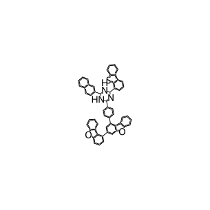 c1ccc2cc(C3NC(c4ccc(-c5cc(-c6cccc7oc8ccccc8c67)cc6oc7ccccc7c56)cc4)=NC(c4cccc5c4sc4ccccc45)N3)ccc2c1